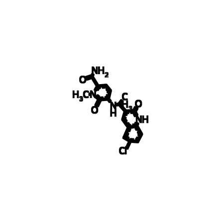 CC(Nc1ccc(C(N)=O)n(C)c1=O)c1cc2cc(Cl)ccc2[nH]c1=O